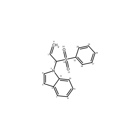 C=CC(n1ccc2ccccc21)S(=O)(=O)c1ccccc1